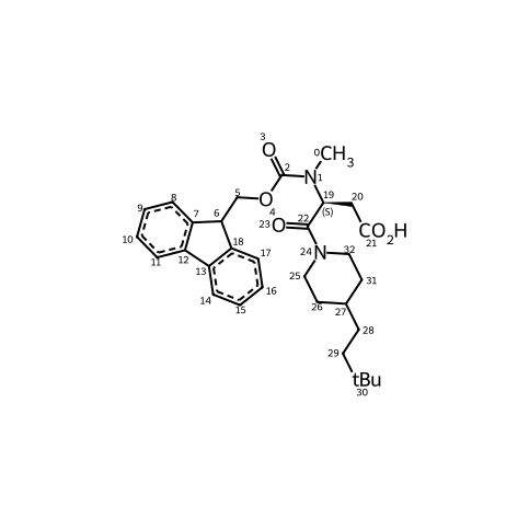 CN(C(=O)OCC1c2ccccc2-c2ccccc21)[C@@H](CC(=O)O)C(=O)N1CCC(CCC(C)(C)C)CC1